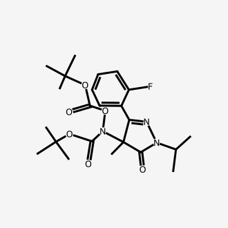 CC(C)N1N=C(c2ccccc2F)C(C)(N(OC(=O)OC(C)(C)C)C(=O)OC(C)(C)C)C1=O